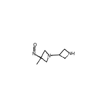 CC1(N=O)CN(C2CNC2)C1